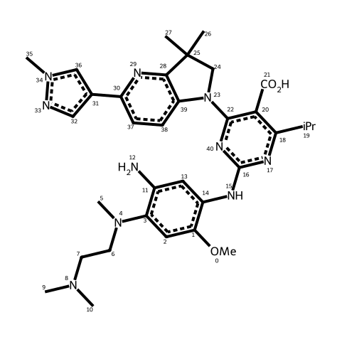 COc1cc(N(C)CCN(C)C)c(N)cc1Nc1nc(C(C)C)c(C(=O)O)c(N2CC(C)(C)c3nc(-c4cnn(C)c4)ccc32)n1